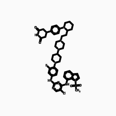 CS(=O)(=O)n1ccc2cccc(Nc3nc(Nc4ccc(N5CCC(N6CCN(CCC7CCCCN7c7ccc(C8CC(=O)NC(=O)C8)cc7)CC6)CC5)c(F)c4)ncc3Cl)c21